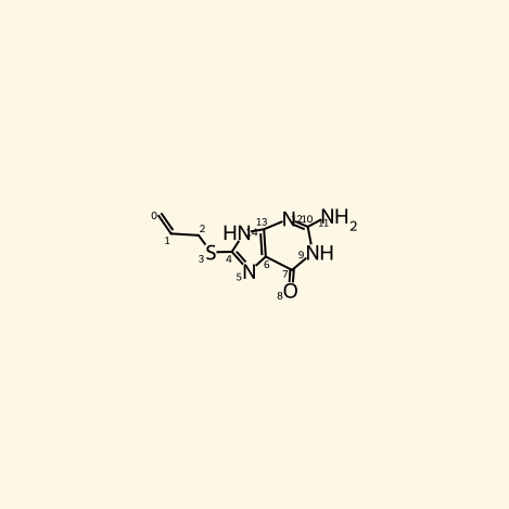 C=CCSc1nc2c(=O)[nH]c(N)nc2[nH]1